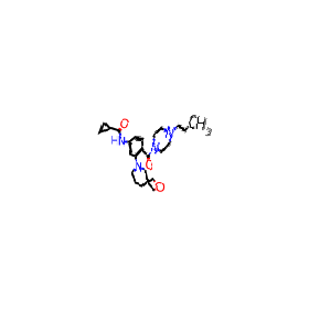 CCCN1CCN(C(=O)c2ccc(NC(=O)C3CC3)cc2N2CCCC3(COC3)C2)CC1